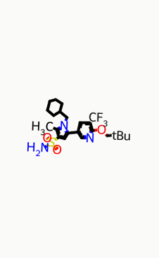 Cc1c(S(N)(=O)=O)cc(-c2cnc(OCC(C)(C)C)c(C(F)(F)F)c2)n1CC1CCCCC1